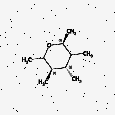 CC1O[C@@H](C)C(C)[C@H](C)[C@H]1C